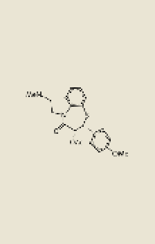 CNCCN1C(=O)[C@@H](OC(C)=O)[C@@H](c2ccc(OC)cc2)Sc2ccccc21